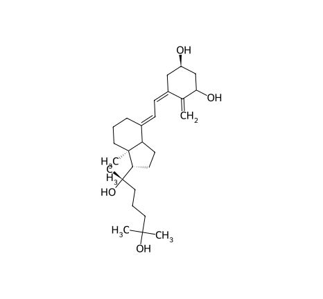 C=C1/C(=C\C=C2/CCC[C@@]3(C)C2CC[C@@H]3[C@@](C)(O)CCCC(C)(C)O)C[C@@H](O)CC1O